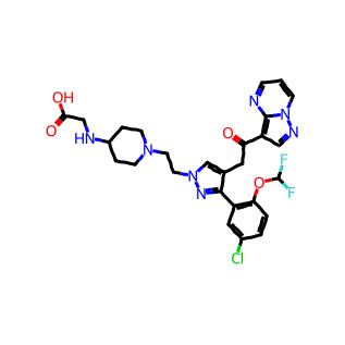 O=C(O)CNC1CCN(CCn2cc(CC(=O)c3cnn4cccnc34)c(-c3cc(Cl)ccc3OC(F)F)n2)CC1